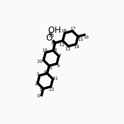 CC1CCC(C2CCC(C(OO)C3CCC(C)CC3)CC2)CC1